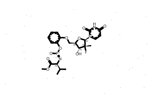 COC(=O)[C@@H](/N=[P+](\[O-])Oc1ccccc1OC[C@H]1O[C@@H](n2ccc(=O)[nH]c2=O)[C@](C)(F)[C@@H]1O)C(C)C